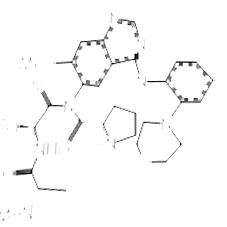 CN[C@@H](C)C(=O)N[C@H](C(=O)N(C(=O)[C@@H]1CCCN1)c1cc2c(Nc3ccccc3N3CCOCC3)ncnc2cc1OC)C(C)(C)C